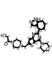 O=C(CO)N1CCN(Cc2cc3nc(-c4cccc5[nH]ncc45)nc(N4CCOCC4)c3s2)CC1